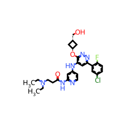 CCN(CC)CCC(=O)Nc1cc(Nc2cc(-c3cc(Cl)ccc3F)nnc2O[C@H]2C[C@@H](CO)C2)ccn1